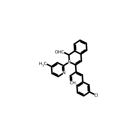 C=CC(=Cc1cccc(Cl)c1)C1=Cc2ccccc2C(C=O)N1c1cc(C)ccn1